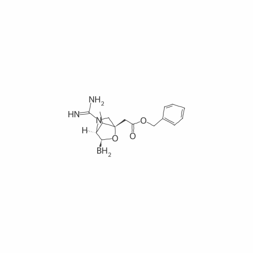 B[C@@H]1O[C@@]2(CC(=O)OCc3ccccc3)CN(C(=N)N)[C@H]1C2C